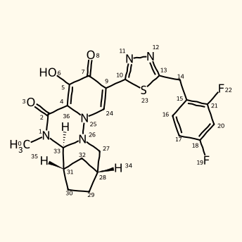 CN1C(=O)c2c(O)c(=O)c(-c3nnc(Cc4ccc(F)cc4F)s3)cn2N2C[C@@H]3CC[C@@H](C3)[C@@H]12